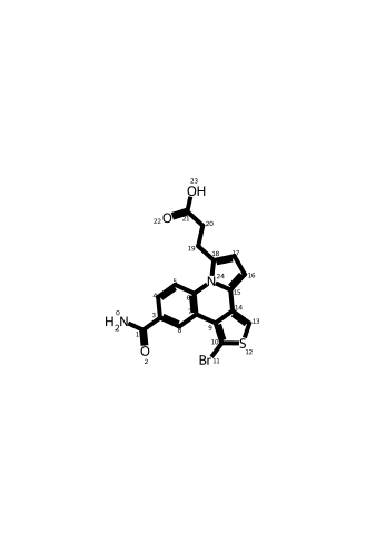 NC(=O)c1ccc2c(c1)c1c(Br)scc1c1ccc(CCC(=O)O)n12